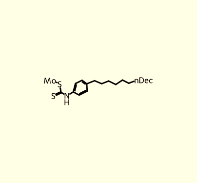 CCCCCCCCCCCCCCCCc1ccc(NC(=S)[S][Mo])cc1